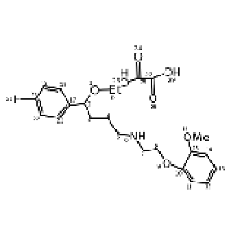 CCOC(CCCNCCOc1ccccc1OC)c1ccc(F)cc1.O=C(O)C(=O)O